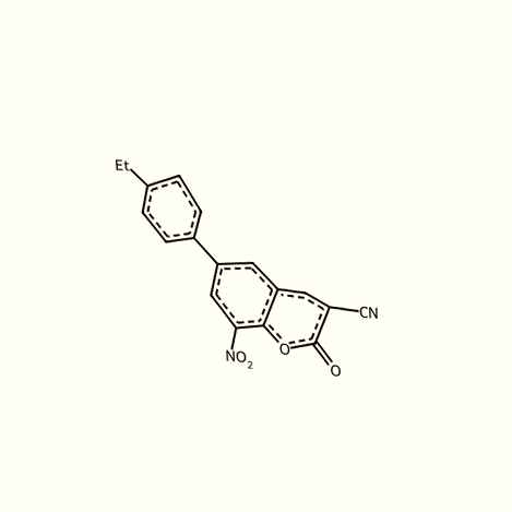 CCc1ccc(-c2cc([N+](=O)[O-])c3oc(=O)c(C#N)cc3c2)cc1